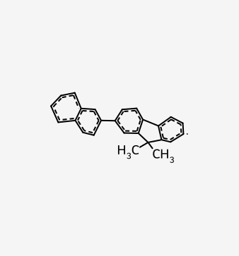 CC1(C)c2c[c]ccc2-c2ccc(-c3ccc4ccccc4c3)cc21